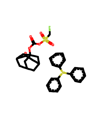 O=C(OC12CC3CC(C1)C(=O)C(C3)C2)OS(=O)(=O)CF.c1ccc([S+](c2ccccc2)c2ccccc2)cc1